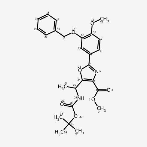 COC(=O)c1nc(-c2ccc(OC)c(OCc3ccccc3)c2)oc1C(C)NC(=O)OC(C)(C)C